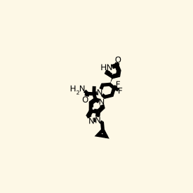 CC(C(N)=O)(c1cc2cnn(CC3CC3)c2cn1)N1CCC(F)(F)[C@@H](c2ccc(=O)[nH]c2)C1